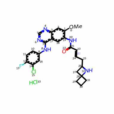 COc1cc2ncnc(Nc3ccc(F)c(Cl)c3)c2cc1NC(=O)/C=C/CC1CC2(CCC2)N1.Cl